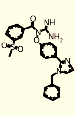 CS(=O)(=O)c1cccc(C(=O)N(Oc2ccc(-c3nccn3Cc3ccccc3)cc2)C(=N)N)c1